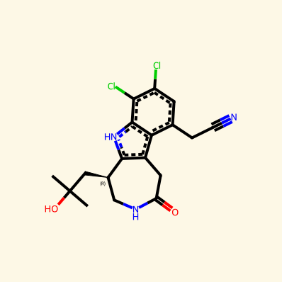 CC(C)(O)C[C@@H]1CNC(=O)Cc2c1[nH]c1c(Cl)c(Cl)cc(CC#N)c21